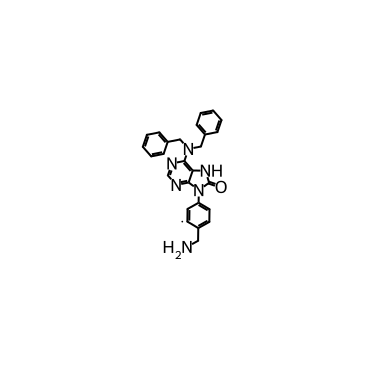 NCc1[c]cc(-n2c(=O)[nH]c3c(N(Cc4ccccc4)Cc4ccccc4)ncnc32)cc1